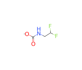 [O]C(=O)NCC(F)F